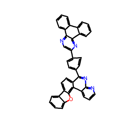 c1ccc2c(c1)oc1c2ccc2c(-c3ccc(-c4cnc5c6ccccc6c6ccccc6c5n4)cc3)nc3ncccc3c21